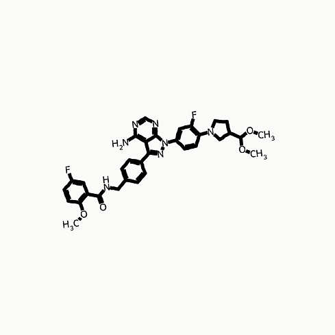 COc1ccc(F)cc1C(=O)NCc1ccc(-c2nn(-c3ccc(N4CCC(C(OC)OC)C4)c(F)c3)c3ncnc(N)c23)cc1